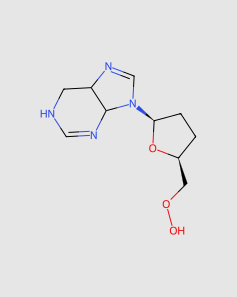 OOC[C@@H]1CC[C@H](N2C=NC3CNC=NC32)O1